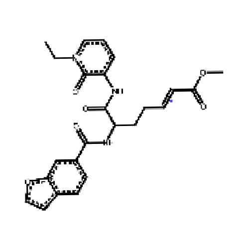 CCn1cccc(NC(=O)C(CC/C=C/C(=O)OC)NC(=O)c2ccc3ccoc3c2)c1=O